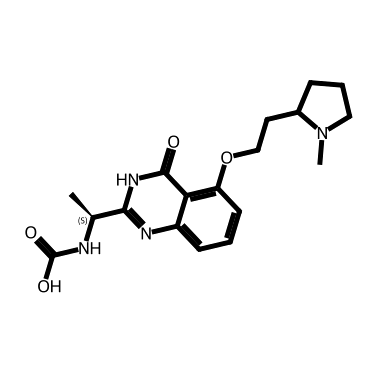 C[C@H](NC(=O)O)c1nc2cccc(OCCC3CCCN3C)c2c(=O)[nH]1